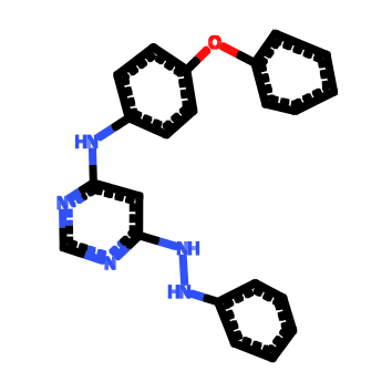 c1ccc(NNc2cc(Nc3ccc(Oc4ccccc4)cc3)ncn2)cc1